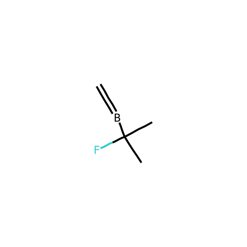 C=BC(C)(C)F